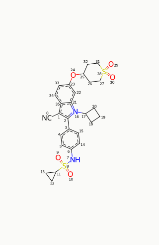 N#Cc1c(-c2ccc(NS(=O)(=O)C3CC3)cc2)n(C2CCC2)c2cc(OC3CCS(=O)(=O)CC3)ccc12